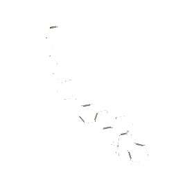 CC(=O)CCCCCN1CCN(c2ccc3c(c2)OC2CC[N+]4=C(C2=C3)C(C)(C)C2=CCCC=C24)CC1